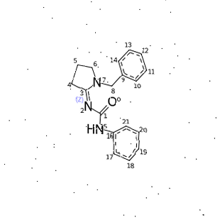 O=C(/N=C1/CCCN1Cc1ccccc1)Nc1ccccc1